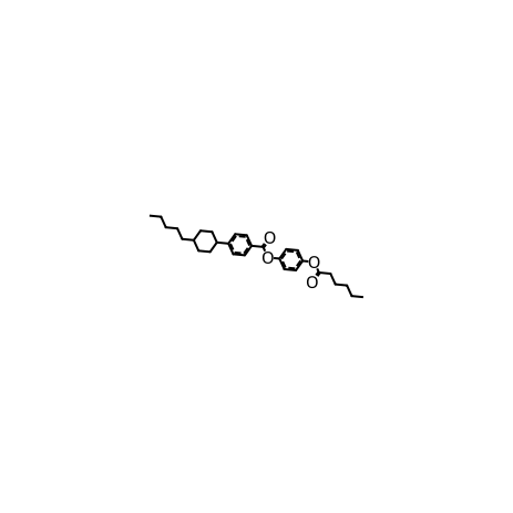 CCCCCC(=O)Oc1ccc(OC(=O)c2ccc(C3CCC(CCCCC)CC3)cc2)cc1